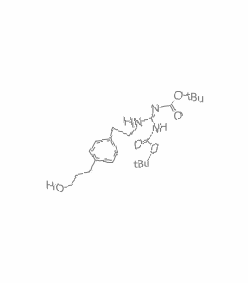 CC(C)(C)OC(=O)/N=C(/NCCc1ccc(CCCO)cc1)NC(=O)OC(C)(C)C